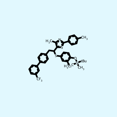 Cc1ccc(-c2nc(C)c(C(Cc3ccc(-c4cccc(C(F)(F)F)c4)cc3)Sc3ccc(O[Si](C)(C)C(C)(C)C)c(C)c3)s2)cc1